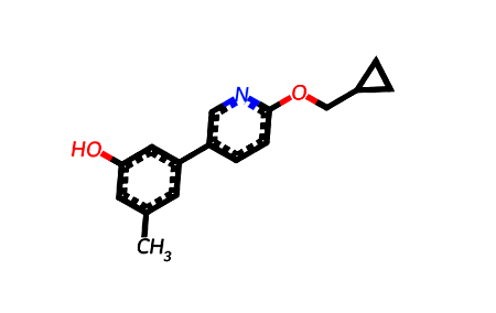 Cc1cc(O)cc(-c2ccc(OCC3CC3)nc2)c1